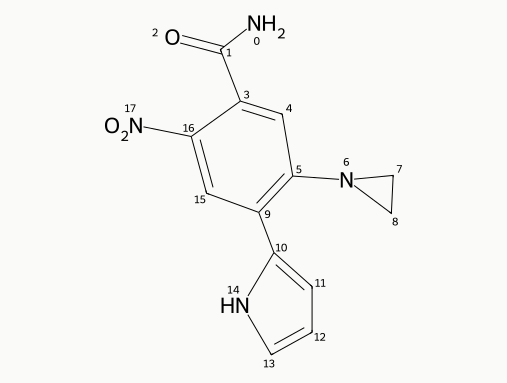 NC(=O)c1cc(N2CC2)c(-c2ccc[nH]2)cc1[N+](=O)[O-]